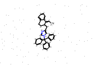 N#CC=C1c2ccccc2CCC1Cc1cn(C(c2ccccc2)(c2ccccc2)c2ccccc2)cn1